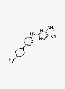 CN1CCN(c2ccc(Nc3ncc(C#N)c(N)n3)cc2)CC1